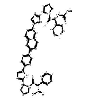 CCN(CC)[C@@H](C(=O)N1CCC[C@H]1c1ncc(-c2ccc(-c3ccc4cc(-c5cnc([C@@H]6CCCN6C(=O)[C@@H](NC(=O)OC)C6CCOCC6)[nH]5)ccc4c3)cc2)[nH]1)c1ccccc1